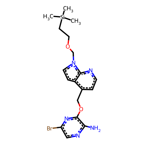 C[Si](C)(C)CCOCn1ccc2c(COc3nc(Br)cnc3N)ccnc21